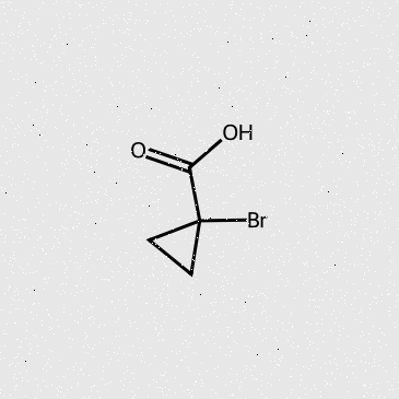 O=C(O)C1(Br)CC1